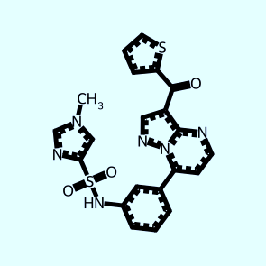 Cn1cnc(S(=O)(=O)Nc2cccc(-c3ccnc4c(C(=O)c5cccs5)cnn34)c2)c1